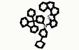 C1=CCC(c2ccc(N(c3cccc(C4(c5ccccc5)c5ccccc5-c5ccccc54)c3)c3cccc4c3sc3c4ccc4ccc5ccccc5c43)cc2)C=C1